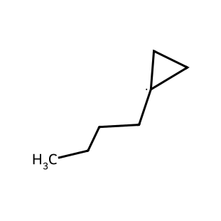 CCCC[C]1CC1